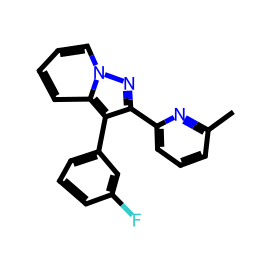 Cc1cccc(-c2nn3ccccc3c2-c2cccc(F)c2)n1